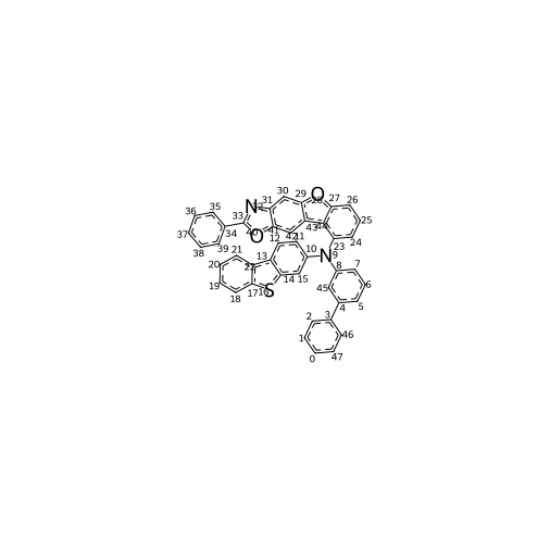 c1ccc(-c2cccc(N(c3ccc4c(c3)sc3ccccc34)c3cccc4oc5cc6nc(-c7ccccc7)oc6cc5c34)c2)cc1